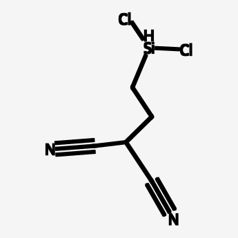 N#CC(C#N)CC[SiH](Cl)Cl